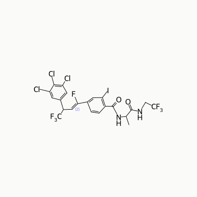 CC(NC(=O)c1ccc(/C(F)=C/C(c2cc(Cl)c(Cl)c(Cl)c2)C(F)(F)F)cc1I)C(=O)NCC(F)(F)F